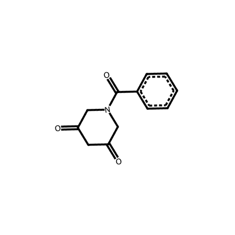 O=C1CC(=O)CN(C(=O)c2ccccc2)C1